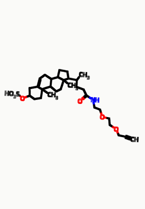 C#CCOCCOCCNC(=O)CCC(C)C1CCC2C3CC=C4CC(OS(=O)(=O)O)CCC4(C)C3CCC12C